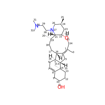 C/C1=C2\C[C@H]3[C@@H](CC=C4C[C@@H](O)CC[C@@]43C)[C@@H]2CC[C@H](C)[C@H]2[C@@H](C[C@H](C)CN2CCN(C)C)OC1